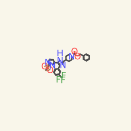 CS(=O)(=O)c1nccc(-c2[nH]c(C3CCN(C(=O)OCc4ccccc4)CC3)nc2-c2cccc(C(F)(F)F)c2)n1